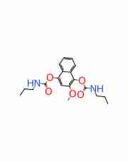 CCCNC(=O)Oc1cc(OC)c(OC(=O)NCCC)c2ccccc12